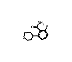 NC(=O)c1c(F)cccc1C1CCSCC1